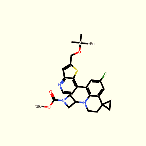 CC(C)(C)OC(=O)N1CC(N2CCC3(CC3)c3cc(Cl)cc(-c4ccnc5cc(CO[Si](C)(C)C(C)(C)C)sc45)c32)C1